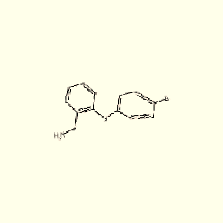 NCc1ccc[c]c1Sc1ccc(Br)cc1